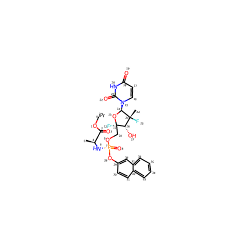 CC(C)OC(=O)[C@H](C)N[P@@](=O)(OC[C@@]1(F)O[C@@H](n2ccc(=O)[nH]c2=O)[C@](C)(F)[C@@H]1O)Oc1ccc2ccccc2c1